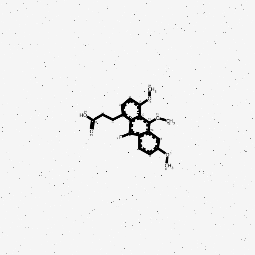 COc1ccc2c(F)c3c(CCC(=O)O)ccc(OC)c3c(OC)c2c1